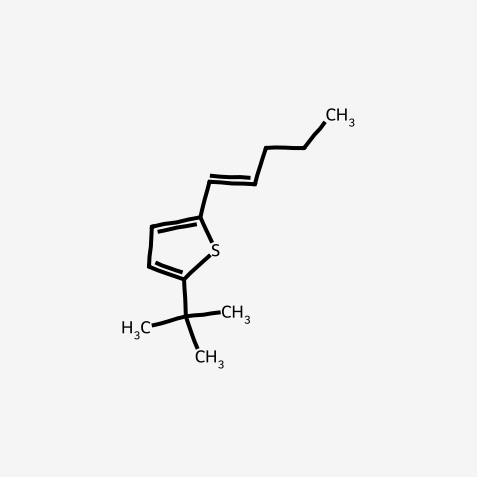 CCC/C=C/c1ccc(C(C)(C)C)s1